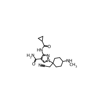 CNC1CCC(CC#N)(n2cc(C(N)=O)c(NC(=O)C3CC3)n2)CC1